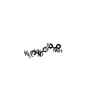 C/C=C\C(=C/C)C1=NOC(C2CCN(c3cc(-c4n[nH]c5ccccc45)ccn3)CC2)N1